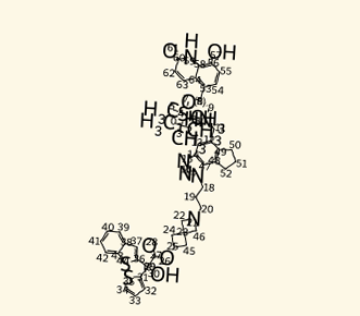 CC(C)(C)[Si](C)(C)O[C@@H](CNCc1cc2nnn(CCCN3CC4(CC(OC(=O)[C@@](O)(c5cccs5)c5cc6ccccc6s5)C4)C3)c2c2c1CCC2)c1ccc(O)c2[nH]c(=O)ccc12